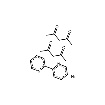 CC(=O)CC(C)=O.CC(=O)CC(C)=O.[Ni].c1ccc(-c2ccccn2)nc1